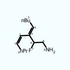 CCC/C=C\C(=C/CCCC)C(F)CN